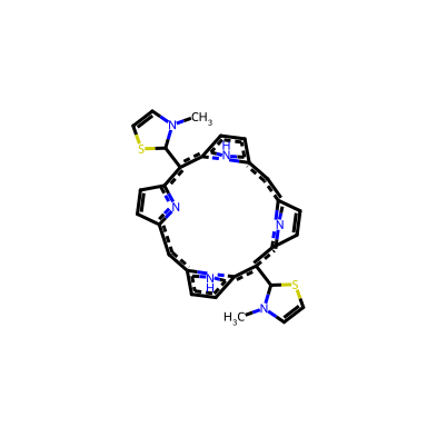 CN1C=CSC1c1c2nc(cc3ccc([nH]3)c(C3SC=CN3C)c3nc(cc4ccc1[nH]4)C=C3)C=C2